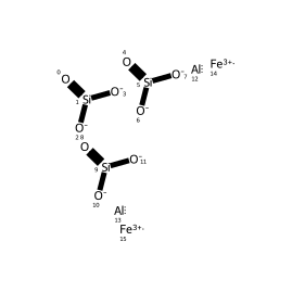 O=[Si]([O-])[O-].O=[Si]([O-])[O-].O=[Si]([O-])[O-].[Al].[Al].[Fe+3].[Fe+3]